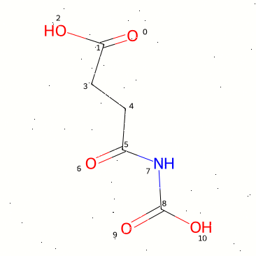 O=C(O)CCC(=O)NC(=O)O